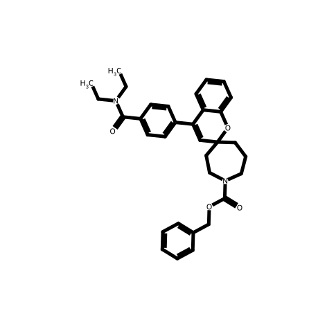 CCN(CC)C(=O)c1ccc(C2=CC3(CCCN(C(=O)OCc4ccccc4)CC3)Oc3ccccc32)cc1